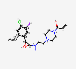 C=CC(=O)N1CCN(CCNC2OC2c2cc(I)c(Cl)cc2OC)CC1